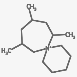 CC1CC(C)C[N+]2(CCCCC2)C(C)C1